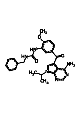 COc1ccc(C(=O)c2cn(C(C)C)c3ncnc(N)c23)cc1NC(=O)NCc1ccccc1